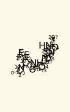 Cc1ccn(-c2cc(NC(=O)c3cccc(-c4ccc5nc(NC(=O)C6CC6)sc5n4)c3)cc(C(F)(F)F)c2)c1